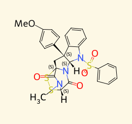 COc1ccc([C@]23C[C@@]45SS[C@@H](C(=O)N4[C@H]2N(S(=O)(=O)c2ccccc2)c2ccccc23)N(C)C5=O)cc1